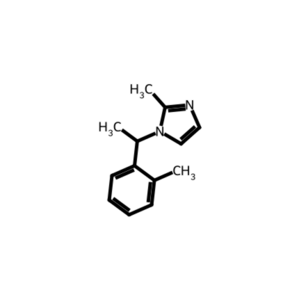 Cc1ccccc1C(C)n1ccnc1C